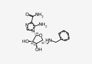 NC(=O)c1ncn([C@@H]2O[C@H](CNCc3ccccc3)[C@@H](O)[C@H]2O)c1N